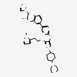 C[C@@H](Cn1cnnn1)Oc1cc(-c2cnc(Nc3cn(C4CCC(N5CCOCC5)CC4)nc3OCCc3ccnn3C)nc2)ccc1C#N